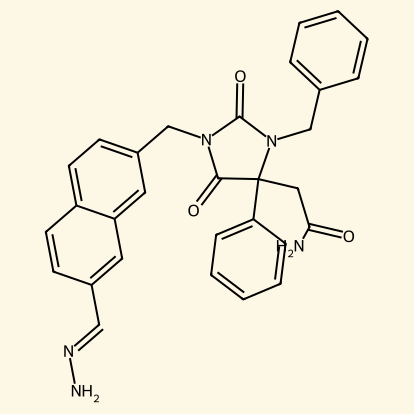 NN=Cc1ccc2ccc(CN3C(=O)N(Cc4ccccc4)C(CC(N)=O)(c4ccccc4)C3=O)cc2c1